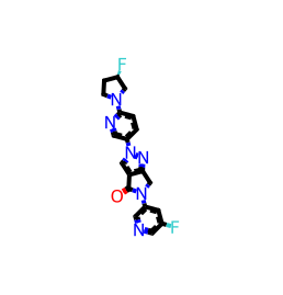 O=C1c2cn(-c3ccc(N4CC[C@@H](F)C4)nc3)nc2CN1c1cncc(F)c1